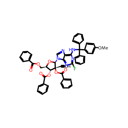 C#C[C@@]1(OC(=O)c2ccccc2)[C@H](OC(=O)c2ccccc2)[C@@H](COC(=O)c2ccccc2)O[C@H]1n1cnc2c(NC(c3ccccc3)(c3ccccc3)c3ccc(OC)cc3)nc(F)nc21